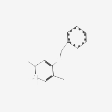 CC1=C[NH+]([O-])C(C)C=C1OCc1ccccc1